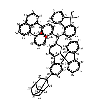 CC1(C)c2ccccc2-c2c(N(C3=CC=C4c5cc(C67CC8CC(CC(C8)C6)C7)ccc5C5(c6ccccc6-c6ccccc65)C4C3)c3ccc(-c4cccc5cccc(-c6ccccc6)c45)cc3)cccc21